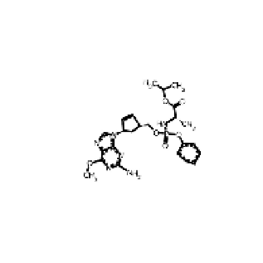 COc1nc(N)nc2c1ncn2[C@H]1C=C[C@@H](COP(=O)(N[C@@H](C)C(=O)OC(C)C)Oc2ccccc2)C1